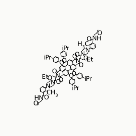 CCOCC(C(=O)N1CCN(c2cccc(C(=O)NCC3CO3)c2C)CC1)N1C(=O)c2cc(Oc3ccc(C(C)C)cc3)c3c4c(Oc5ccc(C(C)C)cc5)cc5c6c(cc(Oc7ccc(C(C)C)cc7)c(c7c(Oc8ccc(C(C)C)cc8)cc(c2c37)C1=O)c64)C(=O)N(C(COCC)C(=O)N1CCN(c2cccc(C(=O)NCC3CO3)c2C)CC1)C5=O